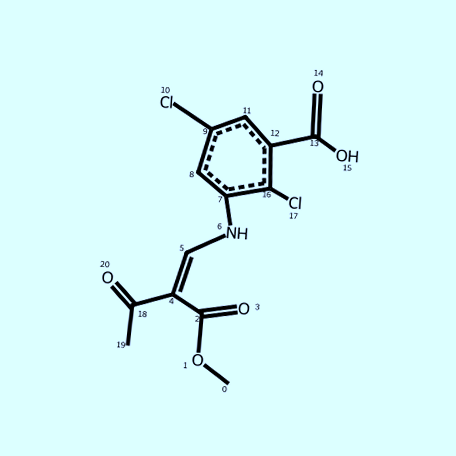 COC(=O)C(=CNc1cc(Cl)cc(C(=O)O)c1Cl)C(C)=O